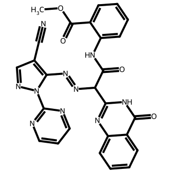 COC(=O)c1ccccc1NC(=O)C(N=Nc1c(C#N)cnn1-c1ncccn1)c1nc2ccccc2c(=O)[nH]1